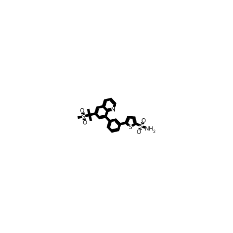 CC(C)(c1cc(-c2cccc(-c3ccc(S(N)(=O)=O)s3)c2)c2ncccc2c1)S(C)(=O)=O